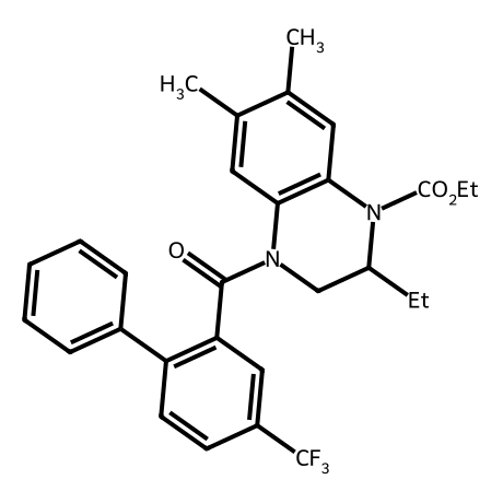 CCOC(=O)N1c2cc(C)c(C)cc2N(C(=O)c2cc(C(F)(F)F)ccc2-c2ccccc2)CC1CC